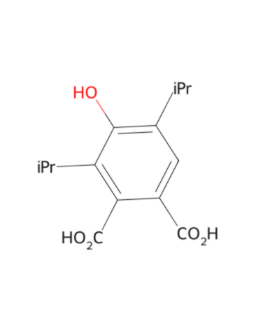 CC(C)c1cc(C(=O)O)c(C(=O)O)c(C(C)C)c1O